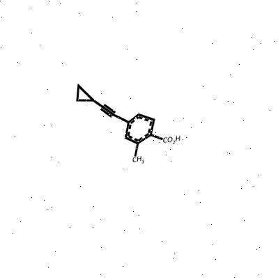 Cc1cc(C#CC2CC2)ccc1C(=O)O